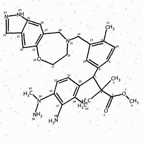 COC(=O)C(C)(C)C(c1ccc(C)c(CN2CCOc3cc4cn[nH]c4cc3C2)c1)c1ccc(N(C)N)c(N)c1C